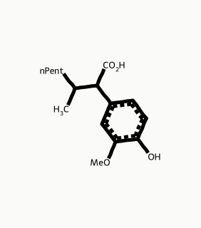 CCCCCC(C)C(C(=O)O)c1ccc(O)c(OC)c1